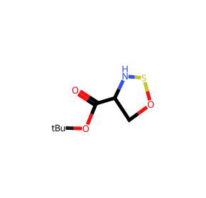 CC(C)(C)OC(=O)C1COSN1